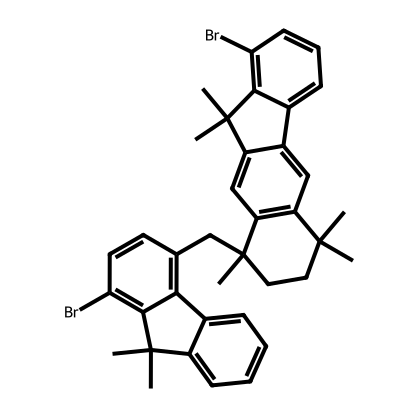 CC1(C)CCC(C)(Cc2ccc(Br)c3c2-c2ccccc2C3(C)C)c2cc3c(cc21)-c1cccc(Br)c1C3(C)C